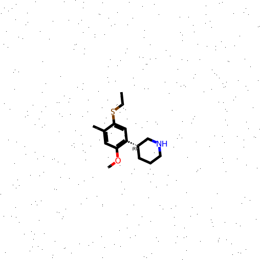 CCSc1cc([C@H]2CCCNC2)c(OC)cc1C